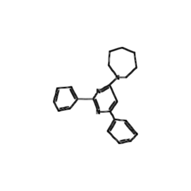 c1ccc(-c2cc(N3CCCCCC3)nc(-c3ccccc3)n2)cc1